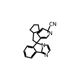 N#Cc1ccc(C2(CC3CCCC3)c3ccccc3-c3nccn32)cn1